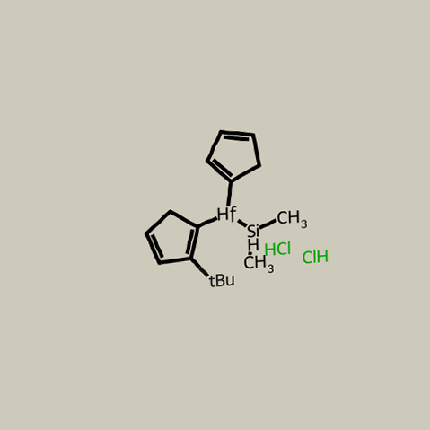 C[SiH](C)[Hf]([C]1=CC=CC1)[C]1=C(C(C)(C)C)C=CC1.Cl.Cl